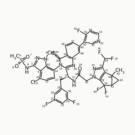 Cn1nc(NS(C)(=O)=O)c2c(Cl)ccc(-n3c([C@H](Cc4cc(F)cc(F)c4)NC(=O)Cn4nc(C(F)F)c5c4C(F)(F)C4CC54C)nc4cc(-c5cnccc5F)ccc4c3=O)c21